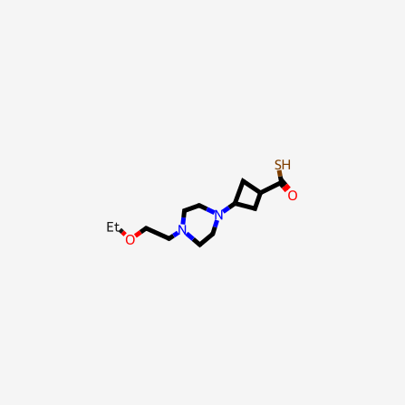 CCOCCN1CCN(C2CC(C(=O)S)C2)CC1